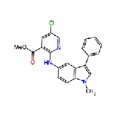 COC(=O)c1cc(Cl)cnc1Nc1ccc2c(c1)c(-c1ccccc1)cn2C